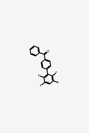 O=C(c1ccccc1)c1ccc(-c2c(F)c(F)cc(F)c2F)cc1